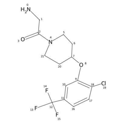 NCC(=O)N1CCC(Oc2cc(C(F)(F)F)ccc2Cl)CC1